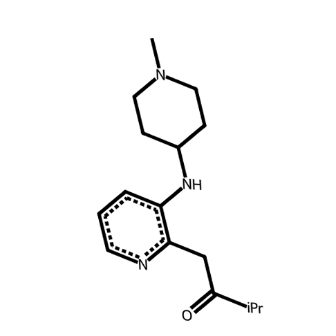 CC(C)C(=O)Cc1ncccc1NC1CCN(C)CC1